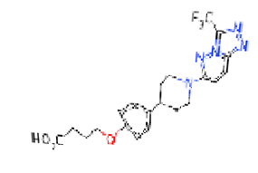 O=C(O)CCCOc1ccc(C2CCN(c3ccc4nnc(C(F)(F)F)n4n3)CC2)cc1